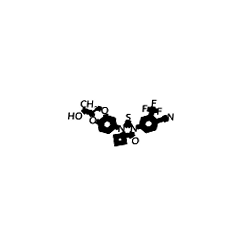 C[C@H](O)[C@H]1COc2cc(N3C(=S)N(c4ccc(C#N)c(C(F)(F)F)c4)C(=O)C34CCC4)ccc2O1